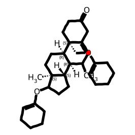 CC1C=C2CC(=O)CC[C@]2(COC2=CCCCC2)[C@@H]2CC[C@]3(C)C(OC4=CCCCC4)CC[C@H]3[C@H]12